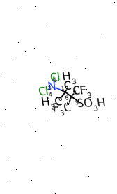 CC(C)(N(Cl)Cl)C(C(F)(F)F)(C(F)(F)F)S(=O)(=O)O